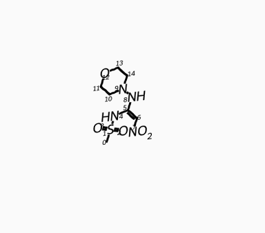 CS(=O)(=O)NC(=C[N+](=O)[O-])NN1CCOCC1